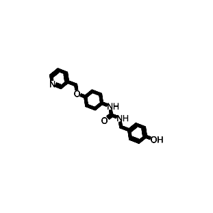 O=C(NCc1ccc(O)cc1)NC1CCC(OCc2cccnc2)CC1